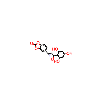 O=C(/C=C/c1ccc2oc(=O)oc2c1)c1c(O)cc(O)cc1O